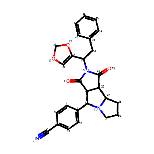 N#Cc1ccc(C2C3C(=O)N(C(Cc4ccccc4)C4=COCO4)C(=O)C3C3CCCN32)cc1